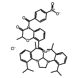 CC1Oc2c([CH]=[Ru+2][CH]3N(c4c(C(C)C)cccc4C(C)C)CCN3c3c(C(C)C)cccc3C(C)C)cccc2N(C(=O)c2ccc([N+](=O)[O-])cc2)C1=O.[Cl-]